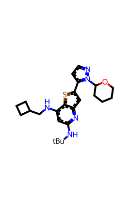 CC(C)(C)Nc1cc(NCC2CCC2)c2sc(-c3ccnn3C3CCCCO3)cc2n1